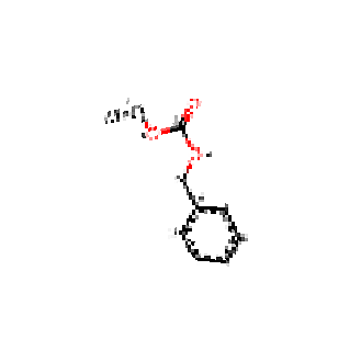 COOC(=O)OCc1ccccc1